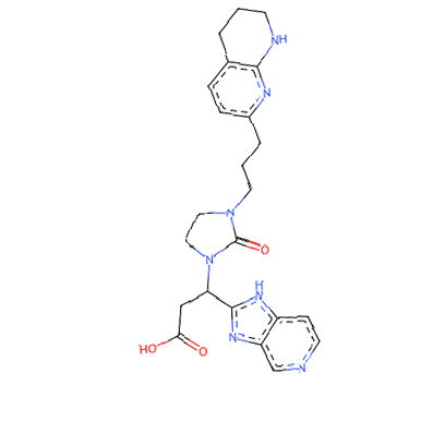 O=C(O)CC(c1nc2cnccc2[nH]1)N1CCN(CCCc2ccc3c(n2)NCCC3)C1=O